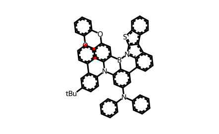 CC(C)(C)c1ccc(N2c3cc4c(cc3B3c5c(cc(N(c6ccccc6)c6ccccc6)cc52)-c2cccc5c6c7ccccc7sc6n3c25)Oc2ccccc2O4)c(-c2ccccc2)c1